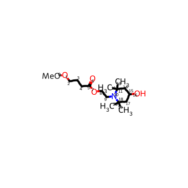 COOCCCC(=O)OCCN1C(C)(C)CC(O)CC1(C)C